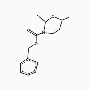 CC1CCN(C(=O)OCc2ccccc2)C(C)O1